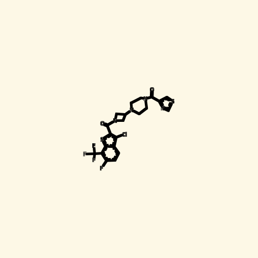 O=C(c1cscn1)N1CCN(C2CN(C(=O)c3sc4c(C(F)(F)F)c(F)ccc4c3Cl)C2)CC1